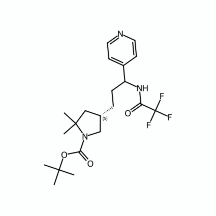 CC(C)(C)OC(=O)N1C[C@@H](CCC(NC(=O)C(F)(F)F)c2ccncc2)CC1(C)C